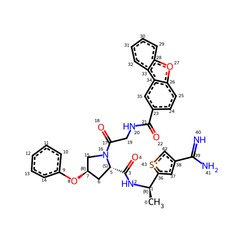 C[C@@H](NC(=O)[C@@H]1C[C@@H](Oc2ccccc2)CN1C(=O)CNC(=O)c1ccc2oc3ccccc3c2c1)c1cc(C(=N)N)cs1